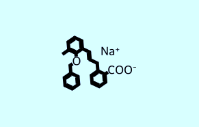 Cc1cccc(C=CCc2ccccc2C(=O)[O-])c1OCc1ccccc1.[Na+]